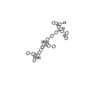 N#Cc1ccc2c(c1)C1c3ccccc3C23c2cc(N(c4ccc(-c5ccc(-c6ccc7nc8n(-c9cc%10c(cc9C#N)C9c%11ccccc%11C%10c%10cc(C#N)c(-n%11c%12ccc(-c%13ccccc%13)cc%12n%12c%13ccccc%13nc%11%12)cc%109)c9ccc(-c%10ccccc%10)cc9n8c7c6)cc5)cc4)c4ccc(-c5cccc6c5oc5ccccc56)cc4)c(C#N)cc2C13